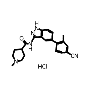 Cc1cc(C#N)ccc1-c1ccc2[nH]nc(NC(=O)C3CCN(C)CC3)c2c1.Cl